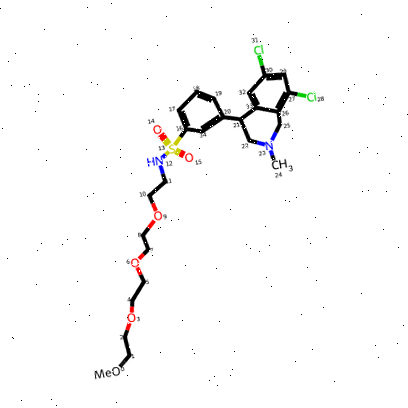 COCCOCCOCCOCCNS(=O)(=O)c1cccc(C2CN(C)Cc3c(Cl)cc(Cl)cc32)c1